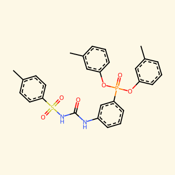 Cc1ccc(S(=O)(=O)NC(=O)Nc2cccc(P(=O)(Oc3cccc(C)c3)Oc3cccc(C)c3)c2)cc1